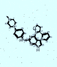 CN1CCN(c2ccc(Nc3nc(N4OCC[C@H]4c4cccs4)c4cc[nH]c4n3)cc2)CC1